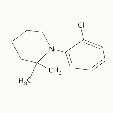 CC1(C)CCC[CH]N1c1ccccc1Cl